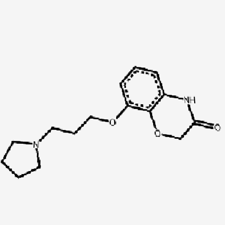 O=C1COc2c(cccc2OCCCN2CCCC2)N1